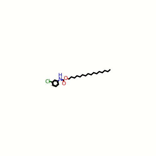 CCCCCCCCCCCCCCCCOC(=O)Nc1cc[c]c(Cl)c1